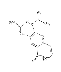 CC(C)Oc1cc2c(=O)[nH]ccc2nc1OC(C)C